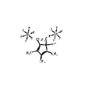 CC1=C(C)[C](C)([Ir+2])C(C)=C1C.[F][Sb-]([F])([F])([F])([F])[F].[F][Sb-]([F])([F])([F])([F])[F]